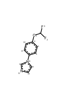 FC(F)Oc1ccc(-n2ccnc2)cc1